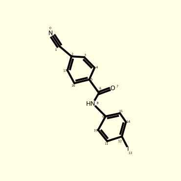 N#Cc1ccc(C(=O)Nc2ccc(I)cc2)cc1